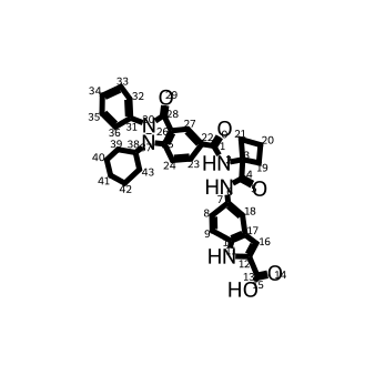 O=C(NC1(C(=O)Nc2ccc3[nH]c(C(=O)O)cc3c2)CCC1)c1ccc2c(c1)c(=O)n(-c1ccccc1)n2C1CCCCC1